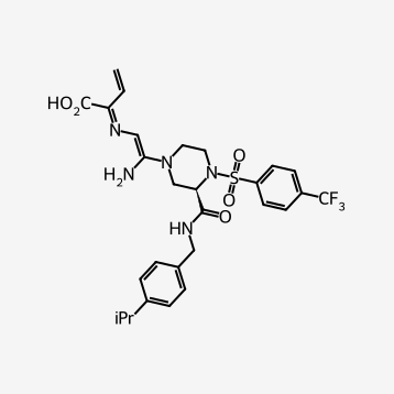 C=C/C(=N\C=C(/N)N1CCN(S(=O)(=O)c2ccc(C(F)(F)F)cc2)[C@@H](C(=O)NCc2ccc(C(C)C)cc2)C1)C(=O)O